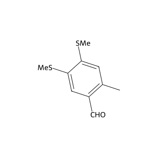 CSc1cc(C)c(C=O)cc1SC